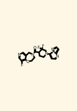 O=C(C1CCN(c2ccnc3ccnn23)CC1(F)F)N1CCOc2c(F)cncc2C1